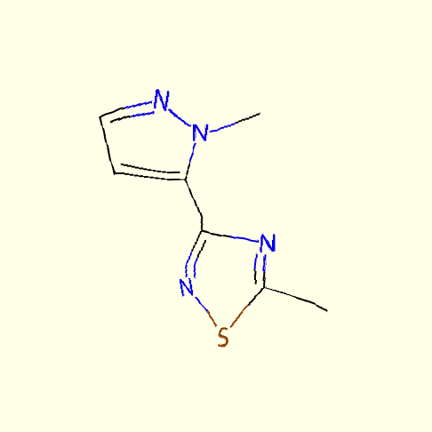 Cc1nc(-c2ccnn2C)ns1